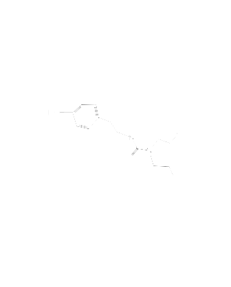 O=C(NCCc1ccc(O)cc1)N(CCCl)CCCl